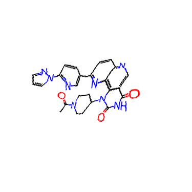 CC(=O)N1CCC(n2c(=O)[nH]c(=O)c3cnc4ccc(-c5ccc(-n6cccn6)nc5)nc4c32)CC1